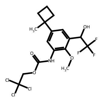 COc1c(NC(=O)OCC(Cl)(Cl)Cl)cc(C2(C)CCC2)cc1C(O)C(F)(F)F